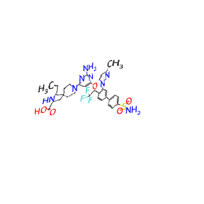 CCC1NC(C(=O)O)CC12CCN(c1cc(O[C@H](c3ccc(-c4ccc(S(N)(=O)=O)cc4)cc3-n3ccc(C)n3)C(F)(F)F)nc(N)n1)CC2